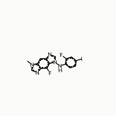 Cn1cnc2c(F)c3c(cc21)ncn3Nc1ccc(I)cc1F